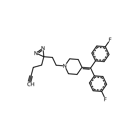 C#CCCC1(CCN2CCC(=C(c3ccc(F)cc3)c3ccc(F)cc3)CC2)N=N1